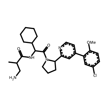 COc1ccc(Cl)cc1-c1ccnc(C2CCCN2C(=O)C(NC(=O)C(C)CN)C2CCCCC2)c1